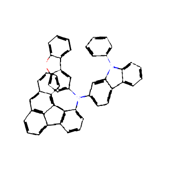 c1ccc(-n2c3ccccc3c3ccc(N(c4ccc5oc6ccccc6c5c4)c4cccc5c4-c4c6ccccc6cc6cccc-5c46)cc32)cc1